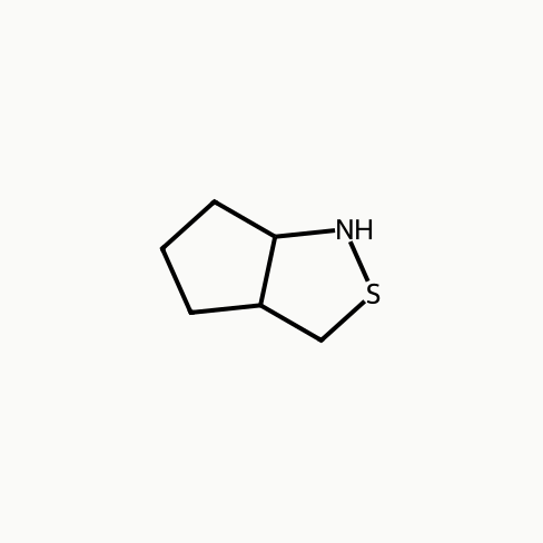 C1CC2CSNC2C1